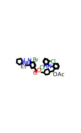 CCC1(NCc2cc(C(=O)OCC3CCC(C(OC(C)=O)c4ccccc4Nc4c(Cl)cccc4Cl)CC3)cc(Br)c2N)CCCCC1